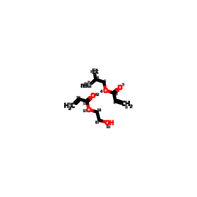 C=CC(=O)OCC(CC)CCCC.C=CC(=O)OCCO